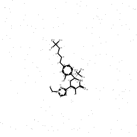 CCn1ccc(C2=C(C)C(=O)N[C@@](c3ccc(CCCCC(F)(F)F)cc3F)(C(F)(F)F)C2)n1